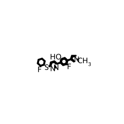 Cn1ccc(-c2cc(O)c(-c3ccc(S[C@@H]4CCCC[C@@H]4F)nn3)cc2F)c1